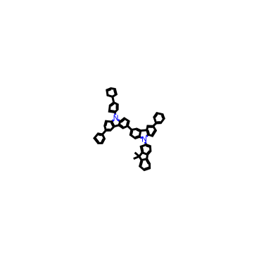 CC1(C)c2ccccc2-c2ccc(-n3c4ccc(-c5ccccc5)cc4c4cc(-c5ccc6c(c5)c5cc(-c7ccccc7)ccc5n6-c5ccc(C6C=CC=CC6)cc5)ccc43)cc21